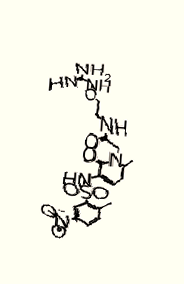 Cc1ccc([N+](=O)[O-])cc1S(=O)(=O)Nc1ccc(C)n(CC(=O)NCCONC(=N)N)c1=O